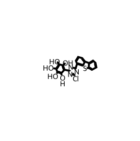 Oc1c(O)c(O)c(-c2nc(Cl)nc(-c3cccc4c3sc3ccccc34)n2)c(O)c1O